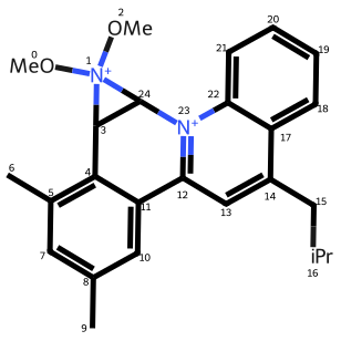 CO[N+]1(OC)C2c3c(C)cc(C)cc3-c3cc(CC(C)C)c4ccccc4[n+]3C21